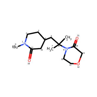 CC(C)(C)N1CCC(CC(C)(C)N2CCOCC2=O)CC1=O